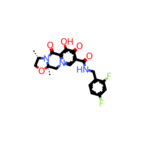 C[C@H]1CO[C@]2(C)Cn3cc(C(=O)NCc4ccc(F)cc4F)c(=O)c(O)c3C(=O)N12